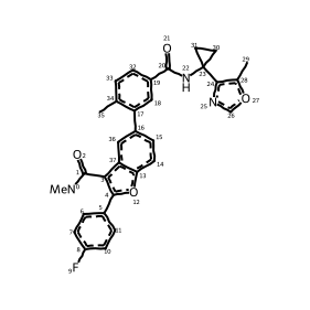 CNC(=O)c1c(-c2ccc(F)cc2)oc2ccc(-c3cc(C(=O)NC4(c5ncoc5C)CC4)ccc3C)cc12